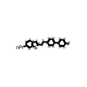 CCCc1ccc2cc(/C=C/c3ccc(-c4ccc(F)cc4)cc3)sc2c1